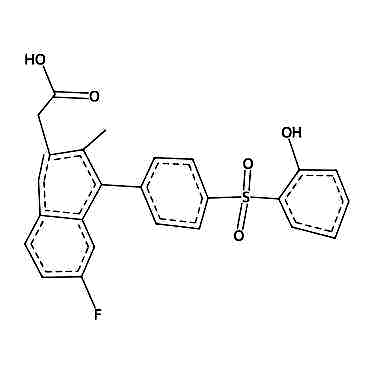 Cc1c(CC(=O)O)cc2ccc(F)cc2c1-c1ccc(S(=O)(=O)c2ccccc2O)cc1